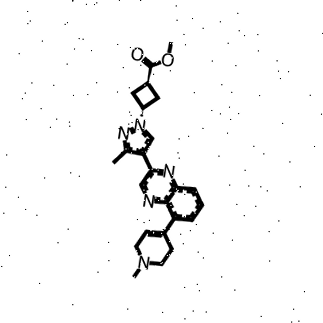 COC(=O)[C@H]1C[C@H](n2cc(-c3cnc4c(C5=CCN(C)CC5)cccc4n3)c(C)n2)C1